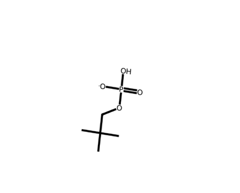 CC(C)(C)COP([O])(=O)O